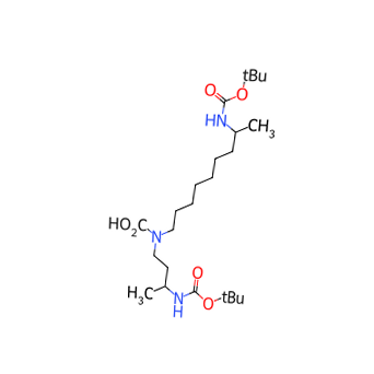 CC(CCCCCCCN(CCC(C)NC(=O)OC(C)(C)C)C(=O)O)NC(=O)OC(C)(C)C